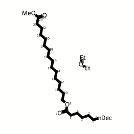 CCCCCCCCCCCCCCCC(=O)OCCCCCCCCCCCCCCCC(=O)OC.CCOCC